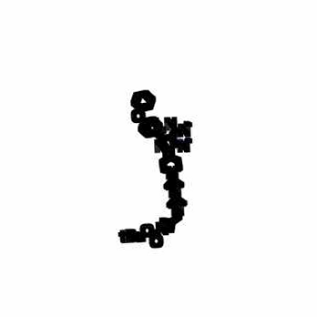 C=N/C(N)=C1/C(c2ccc(Oc3ccccc3)cc2)=NN(C2CCN(C3CN(C4CN(CC5CN(C(=O)OC(C)(C)C)C5)C4)C3)CC2)/C1=N/C